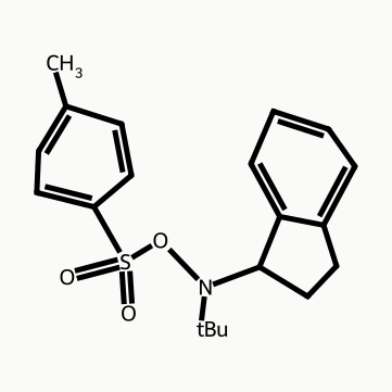 Cc1ccc(S(=O)(=O)ON(C2CCc3ccccc32)C(C)(C)C)cc1